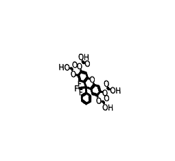 O=C(O)Oc1cc2c(cc1OC(=O)O)C(c1ccccc1)(C(F)(F)F)c1cc(OC(=O)O)c(OC(=O)O)cc1O2